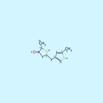 Cc1cc(CC2CC(=O)C(C)S2)cs1